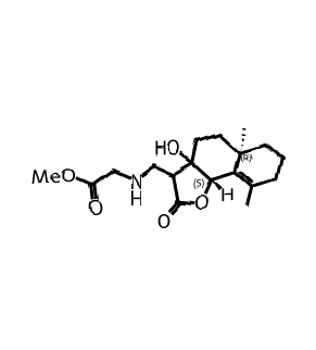 COC(=O)CNCC1C(=O)O[C@H]2C3=C(C)CCC[C@]3(C)CCC12O